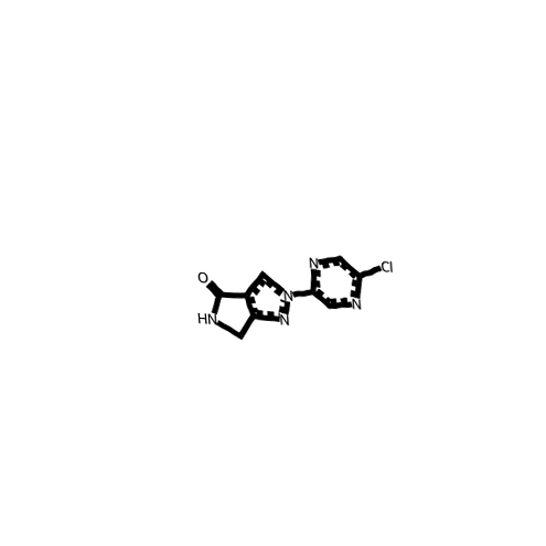 O=C1NCc2nn(-c3cnc(Cl)cn3)cc21